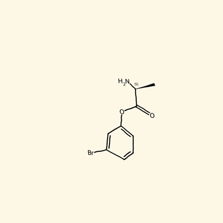 C[C@H](N)C(=O)Oc1cccc(Br)c1